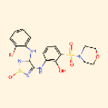 O=S(=O)(c1cccc(Nc2n[s+]([O-])nc2Nc2ccccc2Br)c1O)N1CCOCC1